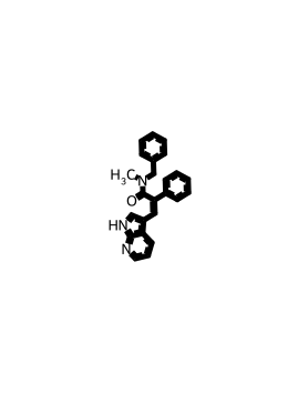 CN(Cc1ccccc1)C(=O)C(=Cc1c[nH]c2ncccc12)c1ccccc1